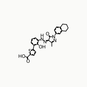 CC1=NN(c2ccc3c(c2)CCCC3)C(=O)/C1=N\Nc1cccc(-c2ccc(C(=O)O)s2)c1O